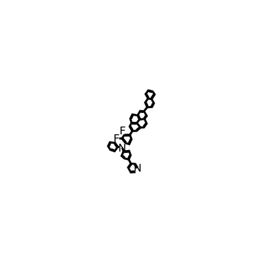 Fc1c(-c2cc3ccc4cc(-c5ccc6ccccc6c5)cc5ccc(c2)c3c45)ccc(N(c2ccccc2)c2ccc(-c3cccnc3)cc2)c1F